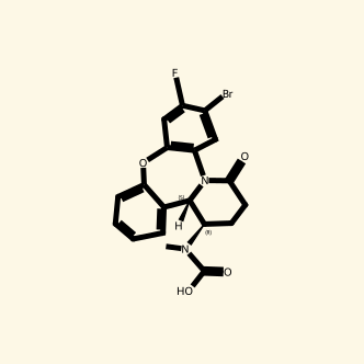 CN(C(=O)O)[C@@H]1CCC(=O)N2c3cc(Br)c(F)cc3Oc3ccccc3[C@@H]12